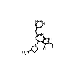 CCc1[nH]c2nc(Sc3cncnc3)nc(N3CCC(N)C3)c2c1Cl